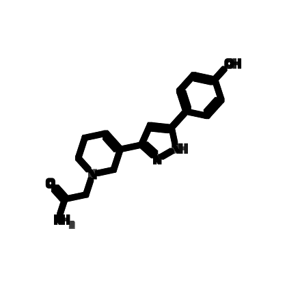 NC(=O)CN1CCC=C(c2cc(-c3ccc(O)cc3)[nH]n2)C1